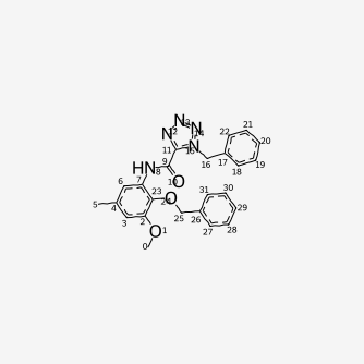 COc1cc(C)cc(NC(=O)c2nnnn2Cc2ccccc2)c1OCc1ccccc1